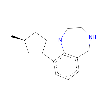 C[C@@H]1CC2c3cccc4c3N(CCNC4)C2C1